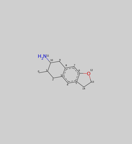 CC1Cc2cc3c(cc2CC1N)OCC3